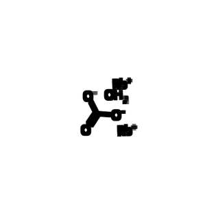 O.O=C([O-])[O-].[Rb+].[Rb+]